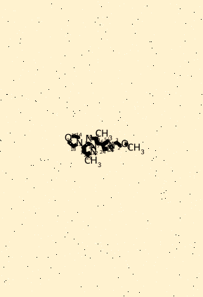 COCCn1cc(-c2c(C)nc3c(N4CCOCC4)cc(C)nn23)cn1